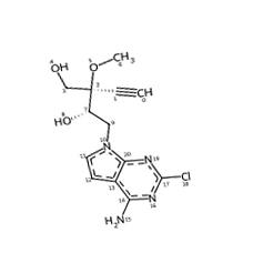 C#C[C@](CO)(OC)[C@@H](O)Cn1ccc2c(N)nc(Cl)nc21